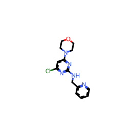 Clc1cc(N2CCOCC2)nc(NCc2ccccn2)n1